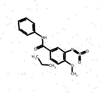 CCC.COc1ccc(C(=O)Nc2ccccc2)cc1N=S(=O)=O